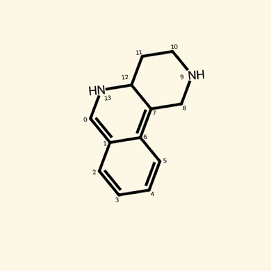 C1=c2ccccc2=C2CNCCC2N1